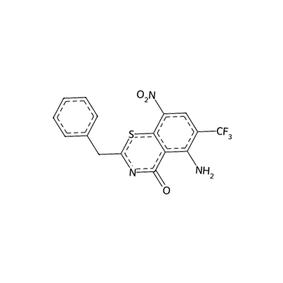 Nc1c(C(F)(F)F)cc([N+](=O)[O-])c2sc(Cc3ccccc3)nc(=O)c12